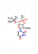 CO[C@H]1C(OS(C)(=O)=O)[C@@H](CO[Si](C)(C)C(C)(C)C)O[C@H]1n1ccc(=O)[nH]c1=O